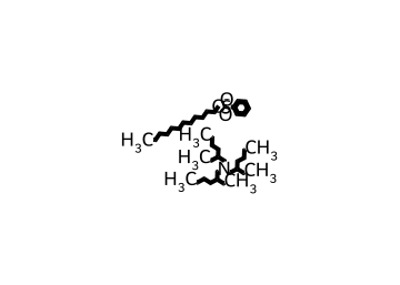 CCCCC(CC)CN(CC(CC)CCCC)CC(CC)CCCC.CCCCCCCCCCCCOS(=O)(=O)c1ccccc1